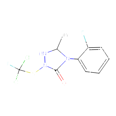 CC(C)C1NN(SC(F)(Cl)Cl)C(=O)N1c1ccccc1F